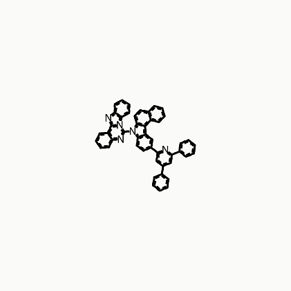 c1ccc(-c2cc(-c3ccccc3)nc(-c3ccc4c(c3)c3c5ccccc5ccc3n4-c3nc4ccccc4c4nc5ccccc5n34)c2)cc1